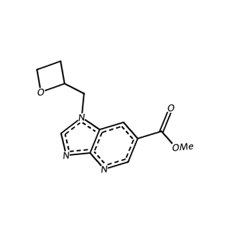 COC(=O)c1cnc2ncn(CC3CCO3)c2c1